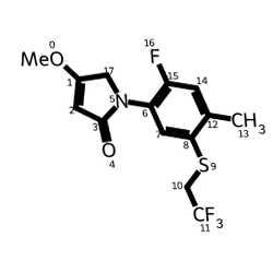 COC1=CC(=O)N(c2cc(SCC(F)(F)F)c(C)cc2F)C1